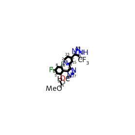 COCCOc1cc(F)cc(F)c1-c1c(-c2cc(-c3nn[nH]c3C(F)(F)F)ccn2)ncn1C